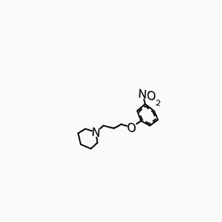 O=[N+]([O-])c1cccc(OCCCN2CCCCC2)c1